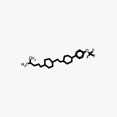 CC(C)CCCC1CCC(CCC2CCC(c3ccc(OC(F)(F)F)cc3)CC2)CC1